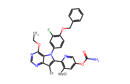 CCc1c(-c2ncc(OC(N)=O)cc2OC)n(-c2ccc(OCc3ccccc3)c(F)c2)c2c(OCC(F)(F)F)ncnc12